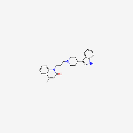 Cc1cc(=O)n(CCCN2CCC(c3c[nH]c4ccccc34)CC2)c2ccccc12